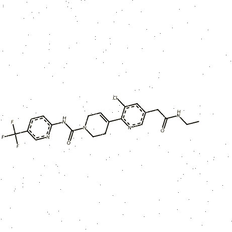 CCNC(=O)Cc1cnc(C2=CCN(C(=O)Nc3ccc(C(F)(F)F)cn3)CC2)c(Cl)c1